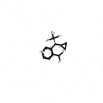 FC(F)c1ccncc1[C@H](C1CC1)C(F)(F)F